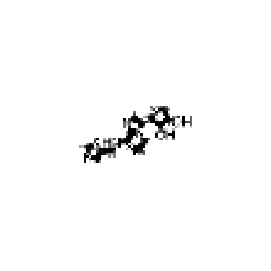 O[C@@H]1[C@H](O)CS[C@H]1c1cnc2c(NCc3cncs3)nccn12